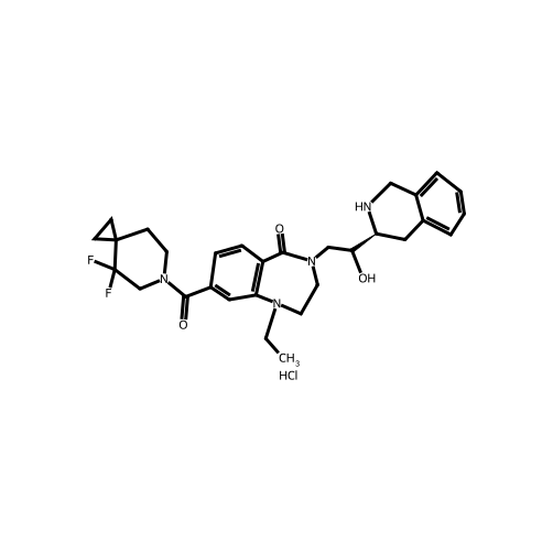 CCN1CCN(CC(O)[C@@H]2Cc3ccccc3CN2)C(=O)c2ccc(C(=O)N3CCC4(CC4)C(F)(F)C3)cc21.Cl